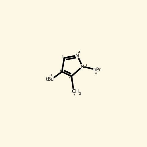 CCCn1ncc(C(C)(C)C)c1C